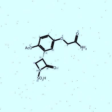 CC(=O)Oc1ccc(OCC(N)=O)cc1[C@H]1CN(S(=O)(=O)O)C1=O